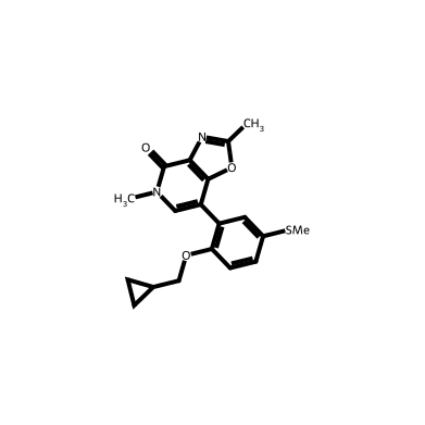 CSc1ccc(OCC2CC2)c(-c2cn(C)c(=O)c3nc(C)oc23)c1